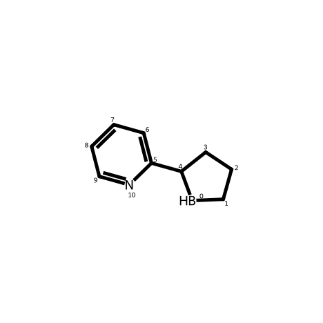 B1CCCC1c1ccccn1